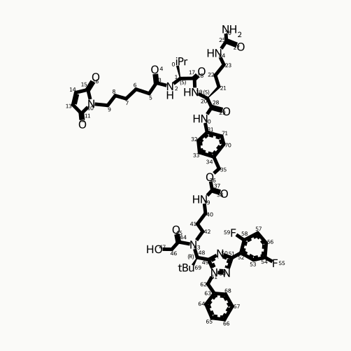 CC(C)[C@H](NC(=O)CCCCCN1C(=O)C=CC1=O)C(=O)N[C@@H](CCCNC(N)=O)C(=O)Nc1ccc(COC(=O)NCCCN(C(=O)CO)[C@@H](c2nc(-c3cc(F)ccc3F)nn2Cc2ccccc2)C(C)(C)C)cc1